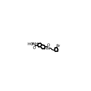 O=C(NO)c1ccc2cc(C(=O)NCCc3cccc(Br)c3)ccc2c1